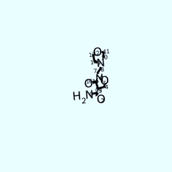 NC(=O)[C@H]1CON(CCN2CCOCC2)C1=O